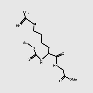 COC(=O)CNC(=O)C(CCCCNC(C)=N)NC(=O)OC(C)(C)C